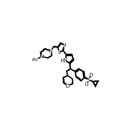 CC(=O)N1CCN(Cc2cnc(-c3ccc(C(CC4CCOCC4)c4ccc(S(=O)(=O)C5CC5)cc4)[nH]3)s2)CC1